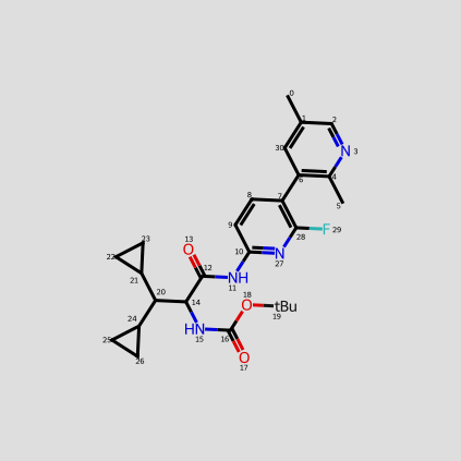 Cc1cnc(C)c(-c2ccc(NC(=O)C(NC(=O)OC(C)(C)C)C(C3CC3)C3CC3)nc2F)c1